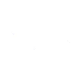 NC(=O)c1ccc2c(n1)CCNC2